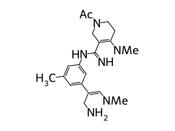 CN/C=C(\CN)c1cc(C)cc(NC(=N)C2=C(NC)CCN(C(C)=O)C2)c1